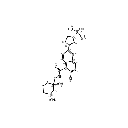 C[C@@H]1CCC[C@](O)(CNC(=O)c2c(Cl)ccc3nc(N4CC[C@H](C(C)(C)O)C4)ccc23)C1